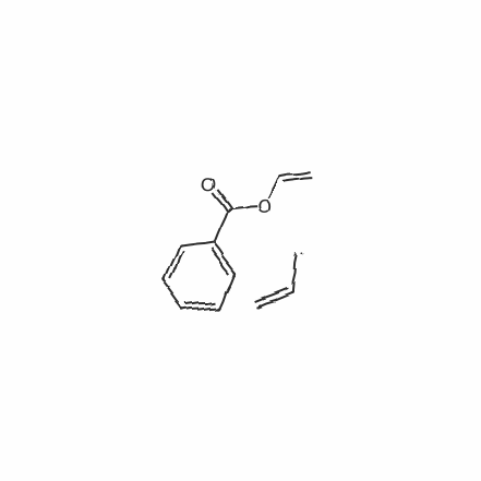 C=COC(=O)c1ccccc1.[CH2]C=C